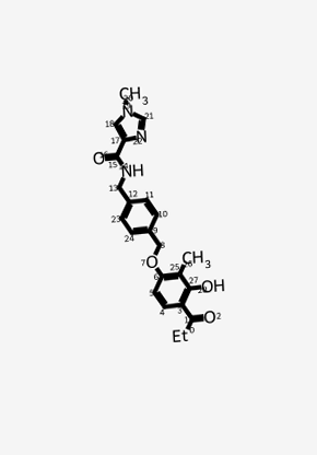 CCC(=O)c1ccc(OCc2ccc(CNC(=O)c3cn(C)cn3)cc2)c(C)c1O